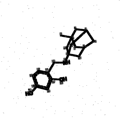 CC12CC3CC(C1)CC(NCc1ccc(O)cc1O)(C3)C2